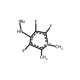 Cc1c(F)c(NC(C)(C)C)c(F)c(F)[n+]1C